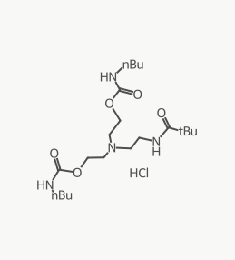 CCCCNC(=O)OCCN(CCNC(=O)C(C)(C)C)CCOC(=O)NCCCC.Cl